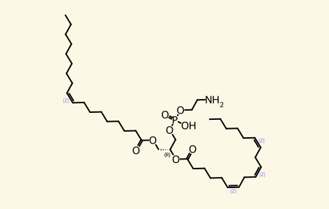 CCCCC/C=C\C/C=C\C/C=C\CCCCC(=O)O[C@H](COC(=O)CCCCCCC/C=C\CCCCCCCC)COP(=O)(O)OCCN